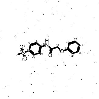 CS(=O)(=O)c1ccc(NC(=O)COc2ccccc2)cc1